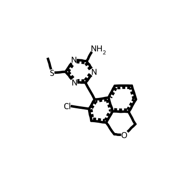 CSc1nc(N)nc(-c2c(Cl)cc3c4c(cccc24)COC3)n1